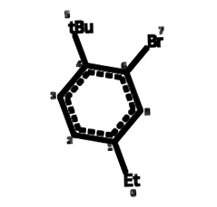 CCc1ccc(C(C)(C)C)c(Br)c1